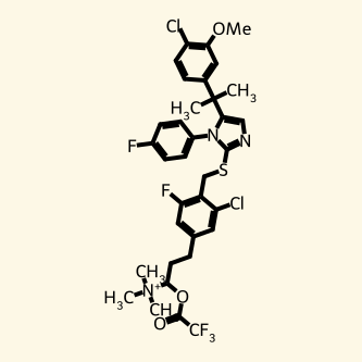 COc1cc(C(C)(C)c2cnc(SCc3c(F)cc(CCC(OC(=O)C(F)(F)F)[N+](C)(C)C)cc3Cl)n2-c2ccc(F)cc2)ccc1Cl